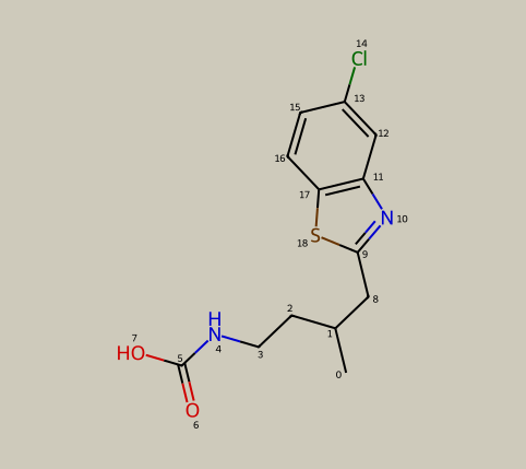 CC(CCNC(=O)O)Cc1nc2cc(Cl)ccc2s1